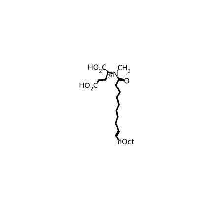 CCCCCCCCC=CCCCCCCCC(=O)N(C)[C@@H](CCC(=O)O)C(=O)O